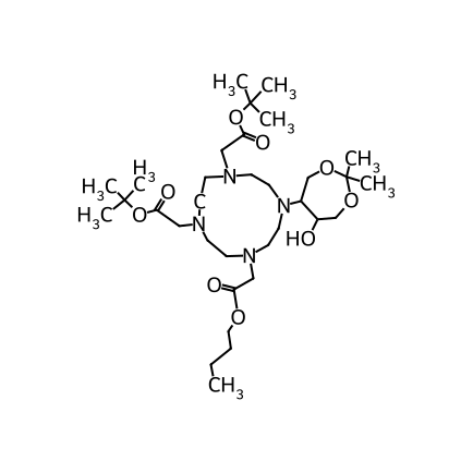 CCCCOC(=O)CN1CCN(CC(=O)OC(C)(C)C)CCN(CC(=O)OC(C)(C)C)CCN(C2COC(C)(C)OCC2O)CC1